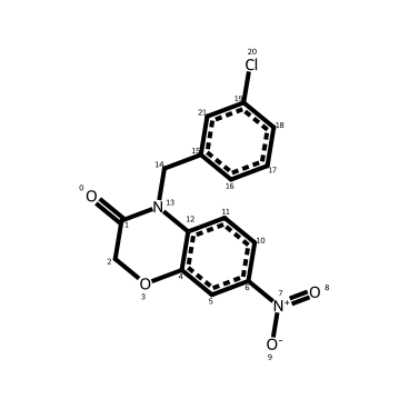 O=C1COc2cc([N+](=O)[O-])ccc2N1Cc1cccc(Cl)c1